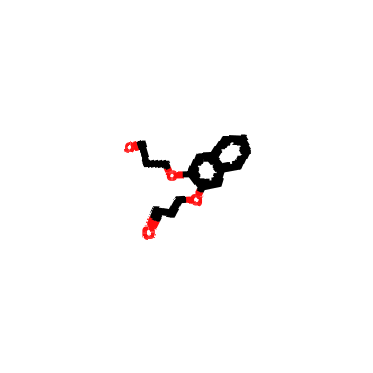 O=CCCOc1cc2ccccc2cc1OCCC=O